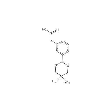 CC1(C)COC(c2cccc(CC(=O)O)c2)OC1